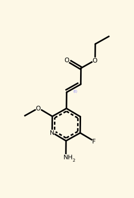 CCOC(=O)/C=C/c1cc(F)c(N)nc1OC